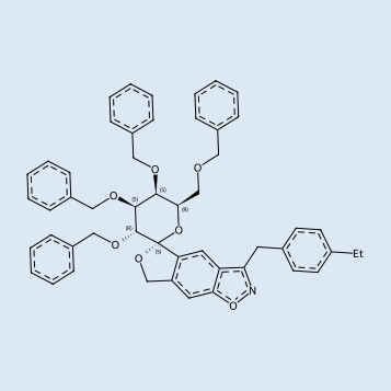 CCc1ccc(Cc2noc3cc4c(cc23)[C@]2(OC4)O[C@H](COCc3ccccc3)[C@H](OCc3ccccc3)[C@H](OCc3ccccc3)[C@H]2OCc2ccccc2)cc1